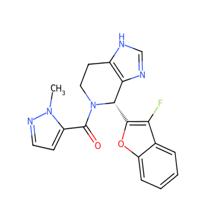 Cn1nccc1C(=O)N1CCc2[nH]cnc2[C@@H]1c1oc2ccccc2c1F